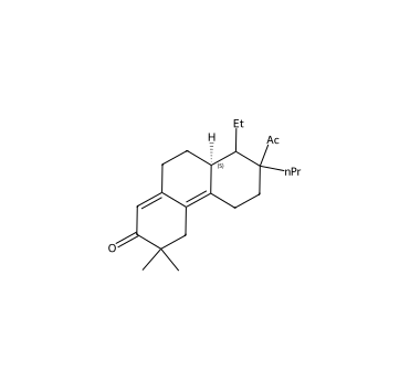 CCCC1(C(C)=O)CCC2=C3CC(C)(C)C(=O)C=C3CC[C@H]2C1CC